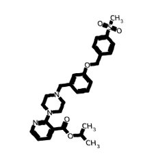 CC(C)OC(=O)c1cccnc1N1CCN(Cc2cccc(OCc3ccc(S(C)(=O)=O)cc3)c2)CC1